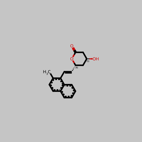 Cc1ccc2ccccc2c1C=C[C@H]1C[C@H](O)CC(=O)O1